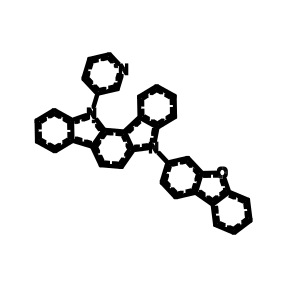 c1cncc(-n2c3ccccc3c3ccc4c(c5ccccc5n4-c4ccc5c(c4)oc4ccccc45)c32)c1